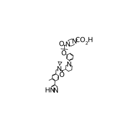 Cc1cc(CN(C(=O)[C@@H]2CCCN(c3cccc(OC(C)(C)C(=O)N4CCN(C(=O)O)CC4)c3)C2)C2CC2)ccc1-c1cn[nH]c1